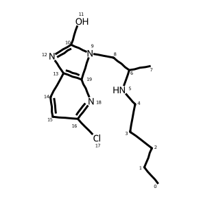 CCCCCNC(C)Cn1c(O)nc2ccc(Cl)nc21